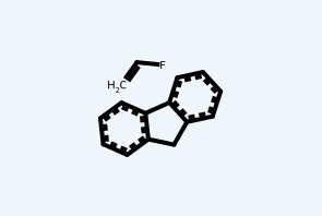 C=CF.c1ccc2c(c1)Cc1ccccc1-2